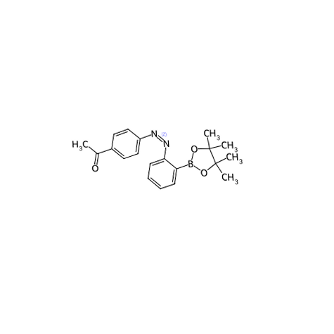 CC(=O)c1ccc(/N=N\c2ccccc2B2OC(C)(C)C(C)(C)O2)cc1